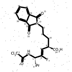 CC(C)[C@H](NC(=O)C(Cl)(Cl)Cl)/C(F)=C/[C@@H](CCCN1C(=O)c2ccccc2C1=O)C(=O)O